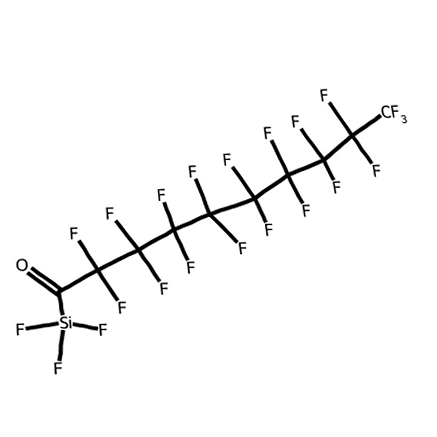 O=C(C(F)(F)C(F)(F)C(F)(F)C(F)(F)C(F)(F)C(F)(F)C(F)(F)C(F)(F)C(F)(F)F)[Si](F)(F)F